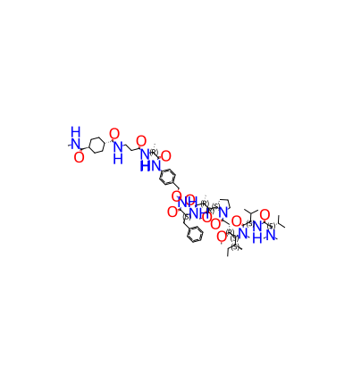 CC[C@H](C)[C@@H]([C@@H](CC(=O)N1CCC[C@H]1[C@H](OC)[C@@H](C)C(=O)N[C@@H](Cc1ccccc1)C(=O)NOCc1ccc(NC(=O)[C@@H](C)NC(=O)CCNC(=O)[C@H]2CC[C@H](C(=O)NC)CC2)cc1)OC)N(C)C(=O)[C@@H](NC(=O)[C@H](C(C)C)N(C)C)C(C)C